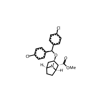 COC(=O)[C@@H]1[C@H]2CC[C@@H](C[C@H]1OC(c1ccc(Cl)cc1)c1ccc(Cl)cc1)N2C